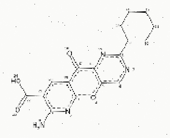 Nc1nc2oc3cnc(C4CCCCC4)nc3c(=O)c2cc1C(=O)O